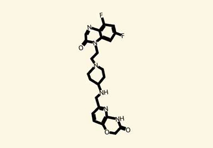 O=C1COc2ccc(CNC3CCN(CCn4c(=O)cnc5c(F)cc(F)cc54)CC3)nc2N1